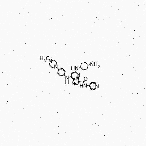 CN1CCN(c2ccc(Nc3cc(N[C@H]4CC[C@H](N)CC4)nn4c(C(=O)Nc5ccncc5)cnc34)cc2)CC1